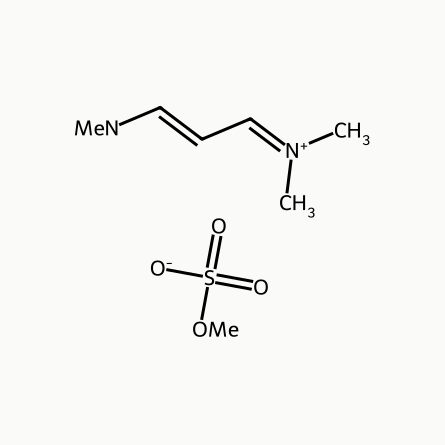 CNC=CC=[N+](C)C.COS(=O)(=O)[O-]